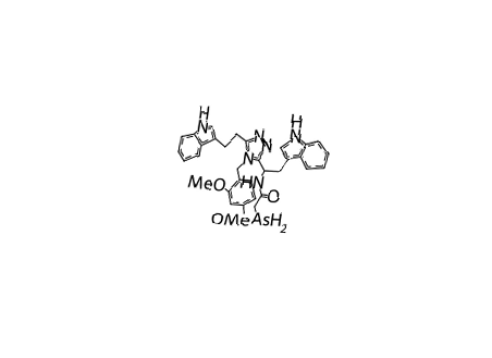 COc1ccc(Cn2c(CCc3c[nH]c4ccccc34)nnc2C(Cc2c[nH]c3ccccc23)NC(=O)C[AsH2])c(OC)c1